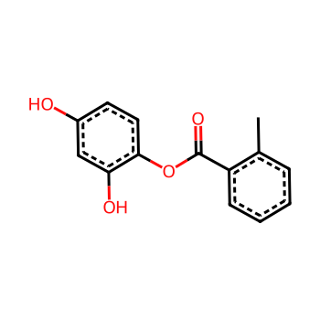 Cc1ccccc1C(=O)Oc1ccc(O)cc1O